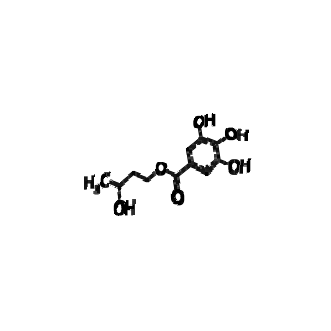 CC(O)CCOC(=O)c1cc(O)c(O)c(O)c1